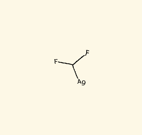 F[CH](F)[Ag]